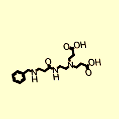 O=C(O)CCN(CCNC(=O)CCNCc1ccccc1)CCC(=O)O